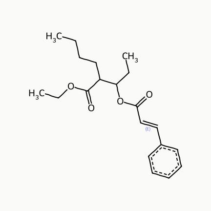 CCCCC(C(=O)OCC)C(CC)OC(=O)/C=C/c1ccccc1